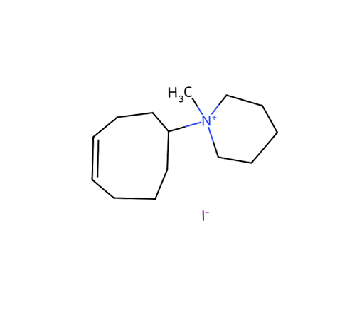 C[N+]1(C2CCC=CCCC2)CCCCC1.[I-]